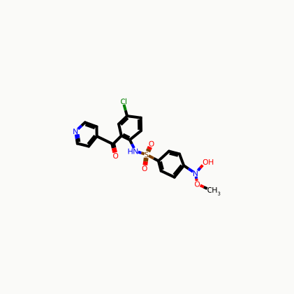 CON(O)c1ccc(S(=O)(=O)Nc2ccc(Cl)cc2C(=O)c2ccncc2)cc1